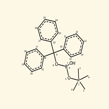 CP(C)(C)(C)OB(O)OC(c1ccccc1)(c1ccccc1)c1ccccc1